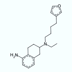 CCN(CCCCc1ccoc1)C1CCc2c(N)cccc2C1